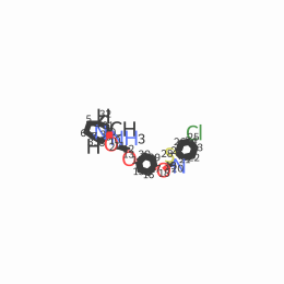 CC(=O)N1[C@@H]2CC[C@H]1C[C@H](NCCOc1ccc(Oc3nc4ccc(Cl)cc4s3)cc1)C2